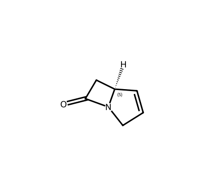 O=C1C[C@H]2C=CCN12